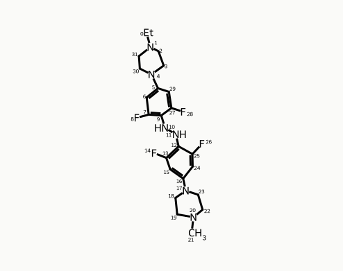 CCN1CCN(c2cc(F)c(NNc3c(F)cc(N4CCN(C)CC4)cc3F)c(F)c2)CC1